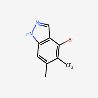 Cc1cc2[nH]ncc2c(Br)c1C(F)(F)F